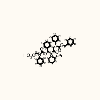 CCC[C@@H]1CCCCN1N(C(=O)CN(C(=O)OCc1ccccc1)c1ccccc1)[C@H](OC(=O)N(CC(=O)O)c1ccccc1)c1ccccc1